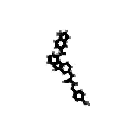 O=C(NCc1ccc(C(F)(F)F)cc1)OC1CCc2c(sc3ncnc(Nc4ccc5[nH]ncc5c4)c23)C1